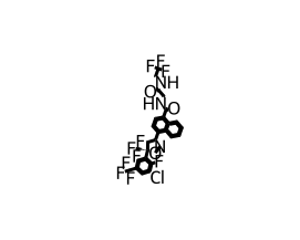 O=C(CNC(=O)c1ccc(C2=NO[C@](c3cc(C(F)(F)F)cc(Cl)c3F)(C(F)(F)F)C2)c2ccccc12)NCC(F)(F)F